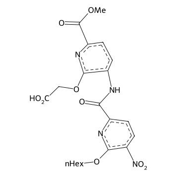 CCCCCCOc1nc(C(=O)Nc2ccc(C(=O)OC)nc2OCC(=O)O)ccc1[N+](=O)[O-]